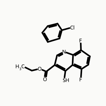 CCOC(=O)c1cnc2c(F)ccc(F)c2c1S.Clc1ccccc1